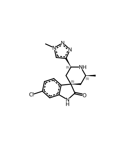 C[C@H]1C[C@@]2(C[C@@H](c3cn(C)nn3)N1)C(=O)Nc1cc(Cl)ccc12